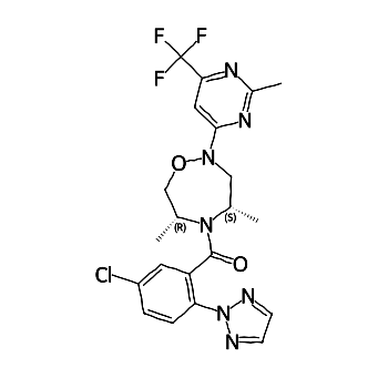 Cc1nc(N2C[C@H](C)N(C(=O)c3cc(Cl)ccc3-n3nccn3)[C@H](C)CO2)cc(C(F)(F)F)n1